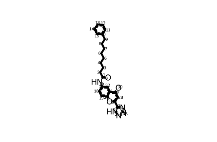 O=C(CCCCCCCCc1ccccc1)Nc1ccc2oc(-c3nnn[nH]3)cc(=O)c2c1